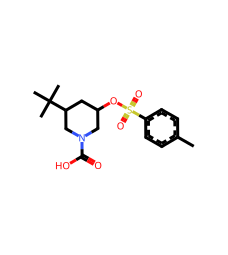 Cc1ccc(S(=O)(=O)OC2CC(C(C)(C)C)CN(C(=O)O)C2)cc1